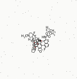 CN1CCC(F)(F)C(COc2nc(N3C4CCC3CN(C(=O)OC(C)(C)C)C4)c3c4c(c(-c5c(F)ccc6sc(NC(=O)OC(C)(C)C)c(C#N)c56)c(F)c3n2)COC4)C1